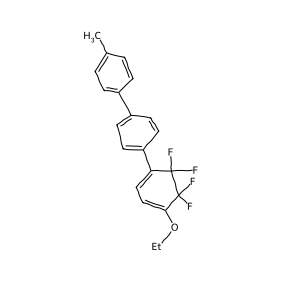 CCOC1=CC=C(c2ccc(-c3ccc(C)cc3)cc2)C(F)(F)C1(F)F